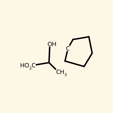 C1CCCCC1.CC(O)C(=O)O